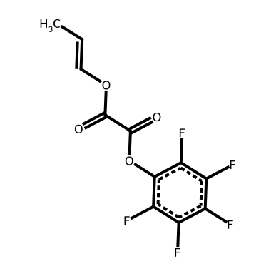 CC=COC(=O)C(=O)Oc1c(F)c(F)c(F)c(F)c1F